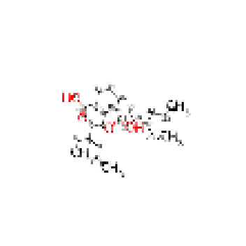 CCCC(CC)CCC1C(C(=O)O)CCCC1(CCC(CC)CCC)C(=O)O